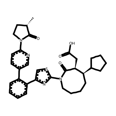 C[C@H]1CCN(c2ccc(-c3ccccc3-c3csc(N4CCCC[C@H](C5CCCC5)[C@H](CC(=O)O)C4=O)n3)cn2)C1=O